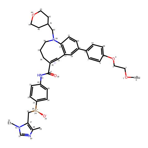 CCCCOCCOc1ccc(-c2ccc3c(c2)/C=C(/C(=O)Nc2ccc([S@@+]([O-])Cc4c(C)ncn4CC)cc2)CCCN3CC2CCOCC2)cc1